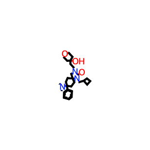 CN(C)C1(c2ccccc2)CCC2(CC1)CN(CCC1(O)CCOCC1)C(=O)N2CC1CCC1